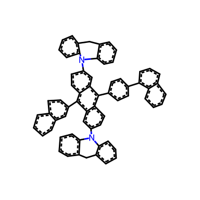 c1ccc2c(c1)Cc1ccccc1N2c1ccc2c(-c3ccc4ccccc4c3)c3cc(N4c5ccccc5Cc5ccccc54)ccc3c(-c3ccc(-c4cccc5ccccc45)cc3)c2c1